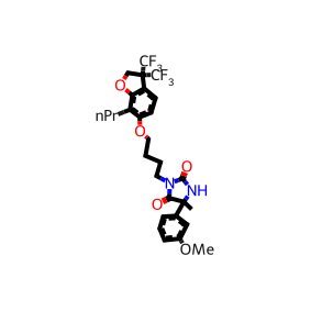 CCCc1c(OCCCCN2C(=O)NC(C)(c3cccc(OC)c3)C2=O)ccc2c1OCC2(C(F)(F)F)C(F)(F)F